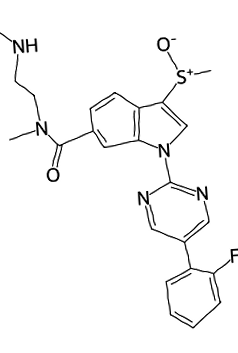 CNCCN(C)C(=O)c1ccc2c([S+](C)[O-])cn(-c3ncc(-c4ccccc4F)cn3)c2c1